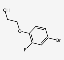 OCCOc1ccc(Br)cc1F